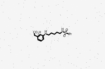 CC(C)S(=O)(=O)NCCCCCNc1cccc(CC(=O)O)c1